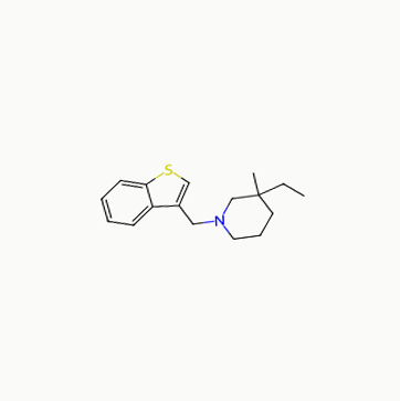 CCC1(C)CCCN(Cc2csc3ccccc23)C1